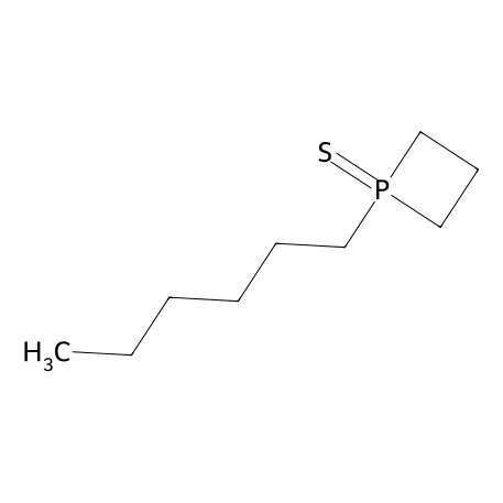 CCCCCCP1(=S)CCC1